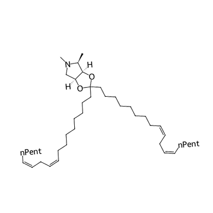 CCCCC/C=C\C/C=C\CCCCCCCCC1(CCCCCCCC/C=C\C/C=C\CCCCC)O[C@H]2[C@H](CN(C)[C@H]2C)O1